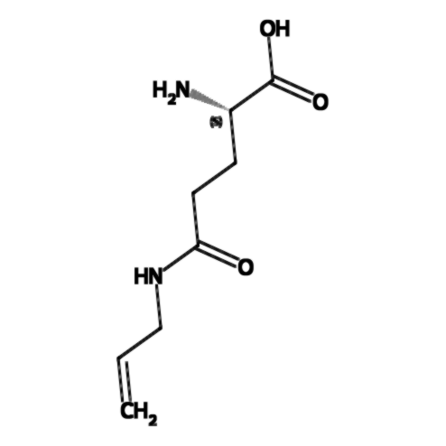 C=CCNC(=O)CC[C@H](N)C(=O)O